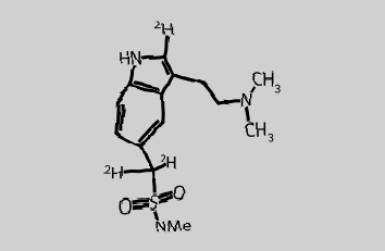 [2H]c1[nH]c2ccc(C([2H])([2H])S(=O)(=O)NC)cc2c1CCN(C)C